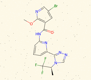 COc1ncc(Br)cc1C(=O)Nc1cccc(-c2nncn2[C@@H](C)C(F)(F)F)n1